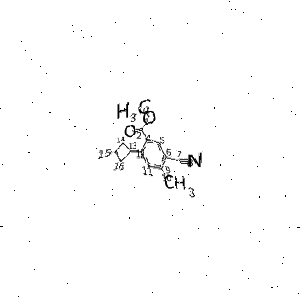 COC(=O)c1cc(C#N)c(C)cc1C1CCC1